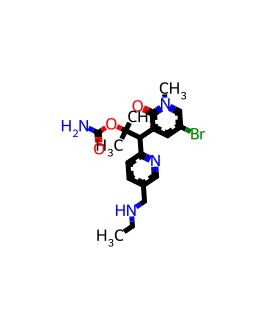 CCNCc1ccc(C(c2cc(Br)cn(C)c2=O)C(C)(C)OC(N)=O)nc1